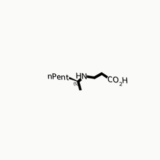 CCCCC[C@H](C)NCCC(=O)O